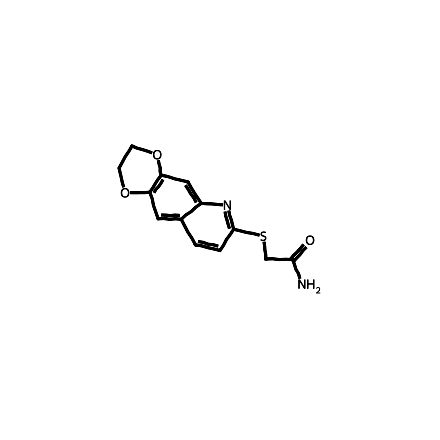 NC(=O)CSc1ccc2cc3c(cc2n1)OCCO3